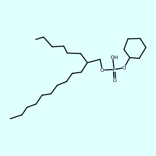 CCCCCCCCCCC(CCCCCC)COP(=O)(O)OC1CCCCC1